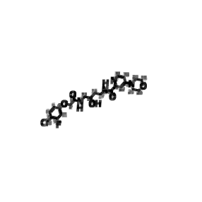 O=C(COc1ccc(Cl)c(F)c1)NCC(O)CCNC(=O)c1cc(N2CCOCC2)ccn1